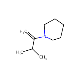 C=C(C(C)C)N1CCCCC1